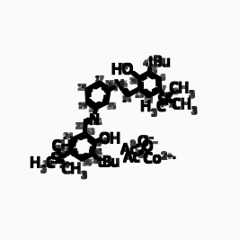 CC(=O)[O-].CC(=O)[O-].CC(C)(C)c1cc([Si](C)(C)C)cc(C=Nc2cccc(N=Cc3cc([Si](C)(C)C)cc(C(C)(C)C)c3O)c2)c1O.[Co+2]